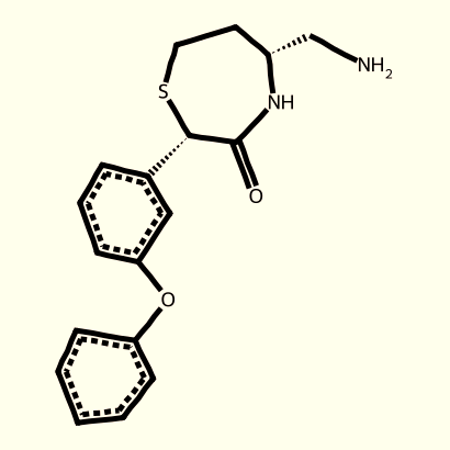 NC[C@H]1CCS[C@@H](c2cccc(Oc3ccccc3)c2)C(=O)N1